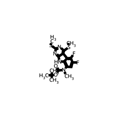 CSc1nc(SC)c2c(n1)[nH]c1c(N(C)C(=O)OC(C)(C)C)cc(F)c(F)c12